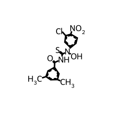 Cc1cc(C)cc(C(=O)NC(=S)N(O)c2ccc([N+](=O)[O-])c(Cl)c2)c1